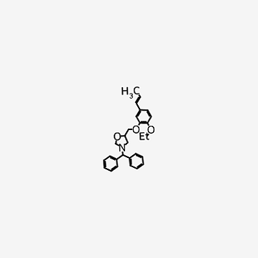 C/C=C/c1ccc(OCC)c(OCC2CN(C(c3ccccc3)c3ccccc3)CO2)c1